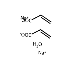 C=CC(=O)[O-].C=CC(=O)[O-].O.[Na+].[Na+]